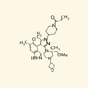 C=CC(=O)N1CCC(n2nc(N3CCN(C4COC4)C[C@]3(C)COC)c(-c3c(Cl)c(C)cc4[nH]ncc34)c2C)CC1